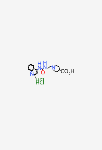 Cc1cc(NC(=O)NCCN2CCC(C(=O)O)CC2)c2ccccc2n1.Cl.Cl